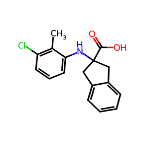 Cc1c(Cl)cccc1NC1(C(=O)O)Cc2ccccc2C1